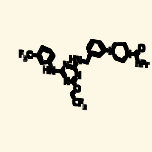 CCCC(=O)N1CCN(c2cccc(CNc3nc(Nc4cccc(C(F)(F)F)c4)nc(OCC(F)(F)F)n3)c2)CC1